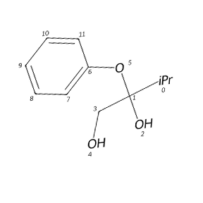 CC(C)C(O)(CO)Oc1ccccc1